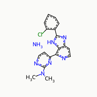 CN(C)c1nccc(-c2nccc3nc(-c4ccccc4Cl)[nH]c23)n1.N